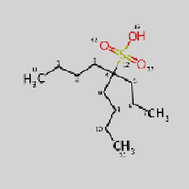 CCCCC(CCC)(CCCC)S(=O)(=O)O